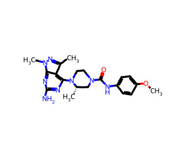 COc1ccc(NC(=O)N2CCN(c3nc(N)nc4c3c(C)nn4C)[C@@H](C)C2)cc1